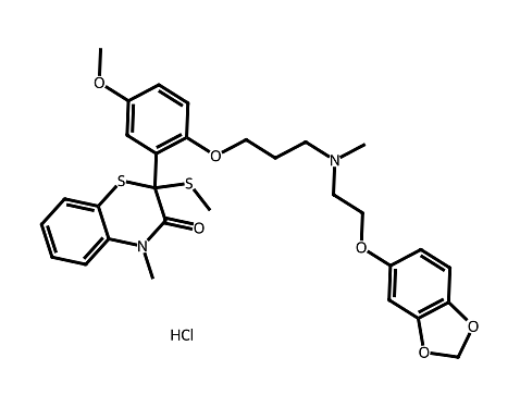 COc1ccc(OCCCN(C)CCOc2ccc3c(c2)OCO3)c(C2(SC)Sc3ccccc3N(C)C2=O)c1.Cl